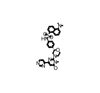 CN(C)c1cccc2c(S(=O)(=O)Nc3ccc([C@H]4CN(c5nc(-c6ccncn6)cc(=O)n5C)CCO4)cc3)cccc12